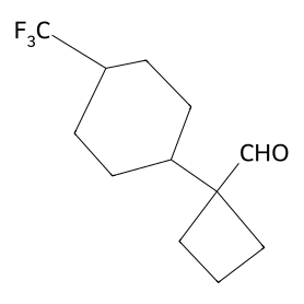 O=CC1(C2CCC(C(F)(F)F)CC2)CCC1